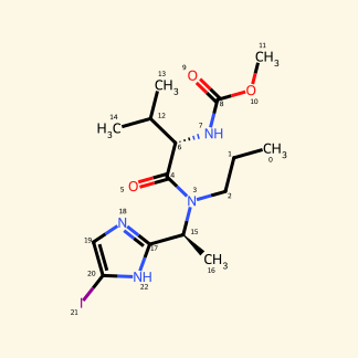 CCCN(C(=O)[C@@H](NC(=O)OC)C(C)C)[C@@H](C)c1ncc(I)[nH]1